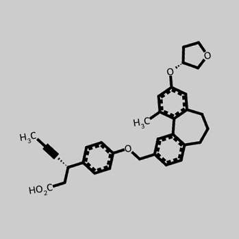 CC#C[C@@H](CC(=O)O)c1ccc(OCc2ccc3c(c2)-c2c(C)cc(O[C@@H]4CCOC4)cc2CCC3)cc1